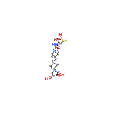 O=C(C[n+]1ccc(/C=C/c2ccc(N(CCO)CCO)cc2)cc1)NC(CS)C(=O)O